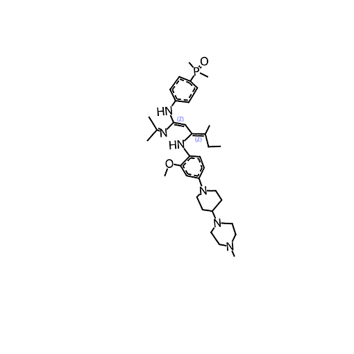 CC/C(C)=C(/C=C(\N=C(C)C)Nc1ccc(P(C)(C)=O)cc1)Nc1ccc(N2CCC(N3CCN(C)CC3)CC2)cc1OC